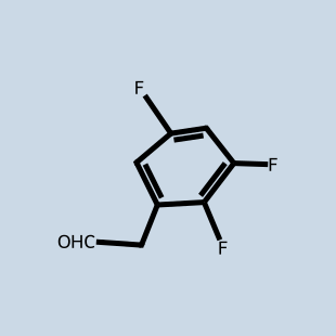 O=CCc1cc(F)cc(F)c1F